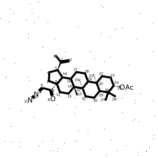 C=C(C)[C@@H]1CC[C@]2(C(=O)C=[N+]=[N-])CC[C@]3(C)C(CCC4[C@@]5(C)CC[C@H](OC(C)=O)C(C)(C)C5CC[C@]43C)C12